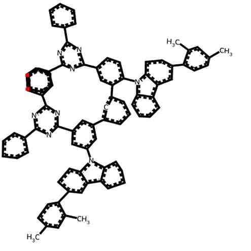 Cc1ccc(-c2ccc3c(c2)c2ccccc2n3-c2cc(-c3cccc(-c4cc(-c5nc(-c6ccccc6)nc(-c6ccccc6)n5)ccc4-n4c5ccccc5c5cc(-c6ccc(C)cc6C)ccc54)c3)cc(-c3nc(-c4ccccc4)nc(-c4ccccc4)n3)c2)c(C)c1